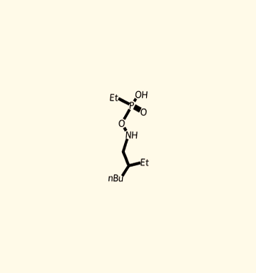 CCCCC(CC)CNOP(=O)(O)CC